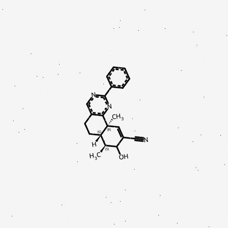 C[C@@H]1C(O)C(C#N)=C[C@]2(C)c3nc(-c4ccccc4)ncc3CC[C@@H]12